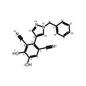 N#Cc1cc(O)c(O)c(C#N)c1-c1cnn(Cc2ccccc2)c1